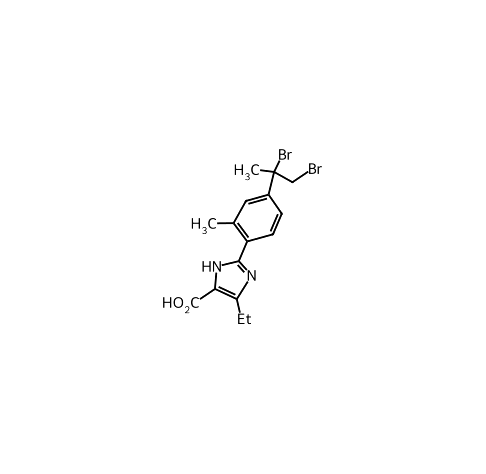 CCc1nc(-c2ccc(C(C)(Br)CBr)cc2C)[nH]c1C(=O)O